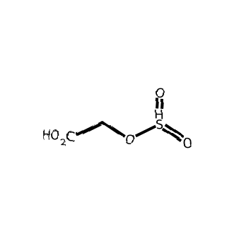 O=C(O)CO[SH](=O)=O